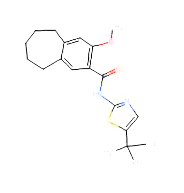 COc1cc2c(cc1C(=O)Nc1ncc(C(C)(C)C)s1)CCCCC2